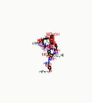 C=[N+](C)[C@H](CC(C)C)C(=O)N[C@H]1C(=O)C[C@@H](CC(N)=O)C(=O)N[C@H]2C(=O)C[C@H]3C(=O)N[C@H](C(=O)N[C@H](C(=O)O)c4cc(O)c(CNCCNS(=O)(=O)c5ccc(OCCCCC)cc5)c5c4-c4cc3ccc4C5(O)O)[C@H](O)c3ccc(c(Cl)c3)Oc3cc2cc(c3O[C@@H]2O[C@H](CO)[C@@H](O)[C@H](O)[C@H]2O[C@H]2C[C@](C)(N)[C@H](O)[C@H](C)O2)Oc2ccc(cc2Cl)[C@H]1O